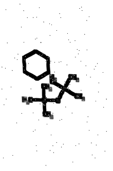 C1CCCCC1.C[Si](C)(C)O[Si](C)(C)C